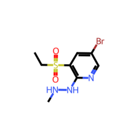 CCS(=O)(=O)c1cc(Br)cnc1NNC